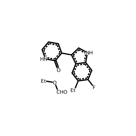 CCOC=O.CCc1cc2c(-c3ccc[nH]c3=O)c[nH]c2cc1F